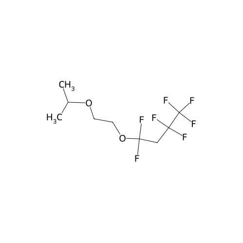 CC(C)OCCOC(F)(F)CC(F)(F)C(F)(F)F